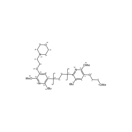 COCCOc1cc(C(C)(C)C)c(C(C)(C)CCC(C)(C)c2cc(OCCN3CCOCC3)c(OC)nc2C(C)(C)C)nc1OC